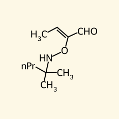 CC=C(C=O)ONC(C)(C)CCC